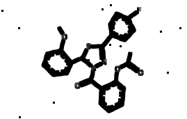 COc1ccccc1C1SC(c2ccc(F)cc2)=NN1C(=O)c1ccccc1OC(C)=O